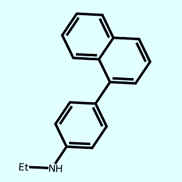 CCNc1ccc(-c2cccc3ccccc23)cc1